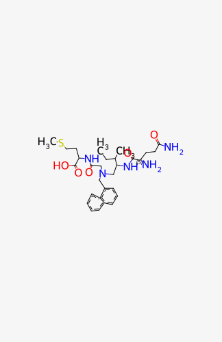 CCC(C)C(CN(CC(=O)NC(CCSC)C(=O)O)Cc1cccc2ccccc12)NC(=O)[C@@H](N)CCC(N)=O